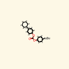 CCCCc1ccc(OC(=O)Oc2ccc(C3CCCCC3)cc2)cc1